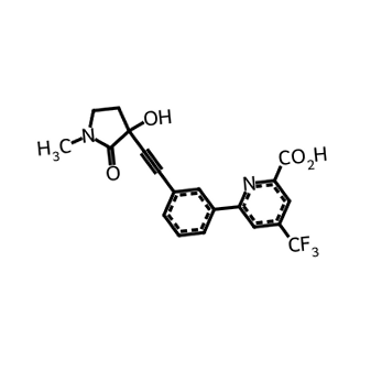 CN1CCC(O)(C#Cc2cccc(-c3cc(C(F)(F)F)cc(C(=O)O)n3)c2)C1=O